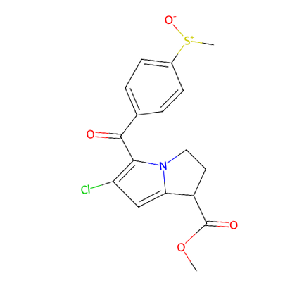 COC(=O)C1CCn2c1cc(Cl)c2C(=O)c1ccc([S+](C)[O-])cc1